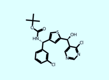 CC(C)(C)OC(=O)N[C@@H](c1cccc(Cl)c1)c1csc([C@@H](O)c2cncnc2Cl)c1